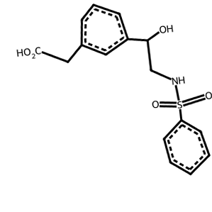 O=C(O)Cc1cccc(C(O)CNS(=O)(=O)c2ccccc2)c1